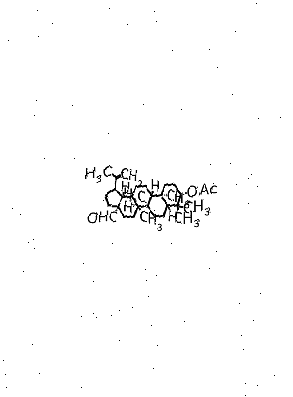 C=C(C)[C@@H]1CC[C@]2(C=O)CC[C@]3(C)[C@H](CC[C@@H]4[C@@]5(C)CC[C@H](OC(C)=O)C(C)(C)[C@@H]5CC[C@]43C)[C@@H]12